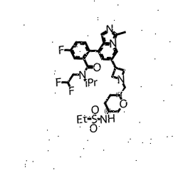 CCS(=O)(=O)N[C@@H]1CC[C@@H](CN2CC(c3cc(-c4ccc(F)cc4C(=O)N(CC(F)F)C(C)C)c4cnc(C)n4c3)C2)OC1